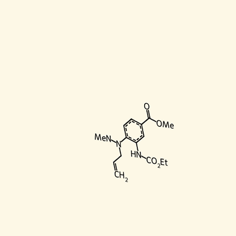 C=CCN(NC)c1ccc(C(=O)OC)cc1NC(=O)OCC